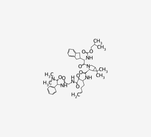 C=CCCC(NC(=O)[C@@H]1C2C(CN1C(=O)[C@@H](NC(=O)OCC(C)C)C1Cc3ccccc3C1)C2(C)C)C(=O)C(=O)NCC(=O)NC(C(=O)N(C)C)c1ccccc1